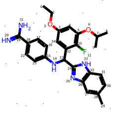 CCOc1cc(OC(C)C)c(F)c(C(Nc2ccc(C(=N)N)cc2)c2nc3cc(C)ccc3[nH]2)c1